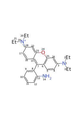 CCN(CC)c1ccc2c(-c3ccccc3N)c3ccc(=[N+](CC)CC)cc-3oc2c1